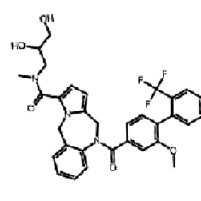 COc1cc(C(=O)N2Cc3ccc(C(=O)N(C)CC(O)CO)n3Cc3ccccc32)ccc1-c1ccccc1C(F)(F)F